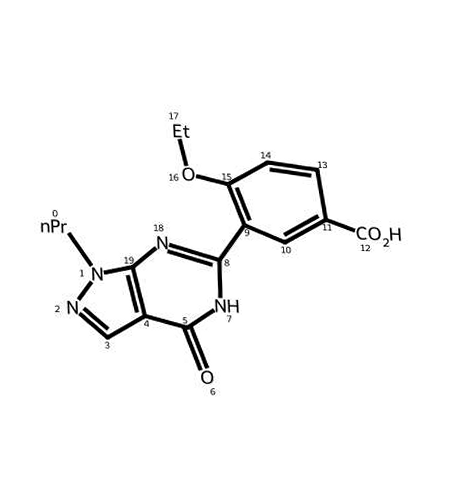 CCCn1ncc2c(=O)[nH]c(-c3cc(C(=O)O)ccc3OCC)nc21